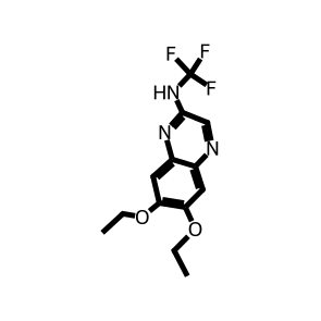 CCOc1cc2ncc(NC(F)(F)F)nc2cc1OCC